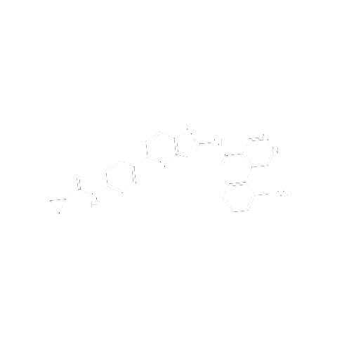 COc1ccccc1-c1cnncc1C(=O)Nc1nc2ccc(-c3ccc(NC(=O)C4CC4)cc3)nc2s1